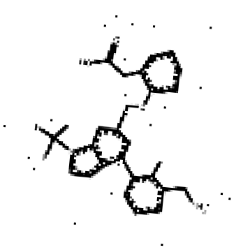 NCc1cccc(-c2cc(COc3ccccc3CC(=O)O)cc3c2ccn3C(F)(F)F)c1F